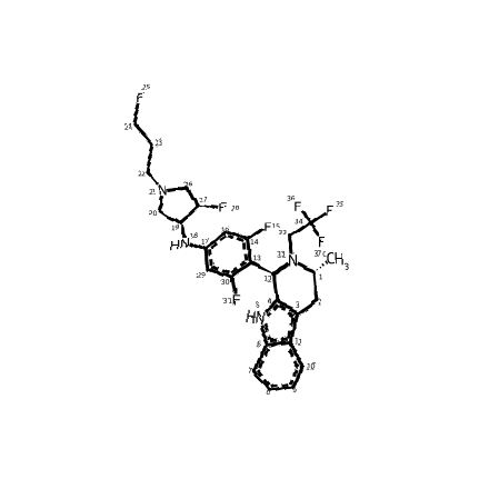 C[C@@H]1Cc2c([nH]c3ccccc23)[C@@H](c2c(F)cc(N[C@H]3CN(CCCF)C[C@H]3F)cc2F)N1CC(F)(F)F